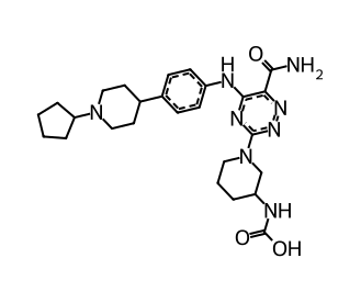 NC(=O)c1nnc(N2CCCC(NC(=O)O)C2)nc1Nc1ccc(C2CCN(C3CCCC3)CC2)cc1